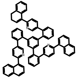 C1=C(c2ccc(-c3ccccc3-c3cc(-c4ccccc4-c4ccc(-c5cccc6ccccc56)nc4)cc(-c4ccccc4-c4ccc(-c5cccc6ccccc56)nc4)c3)cn2)c2ccccc2CC1